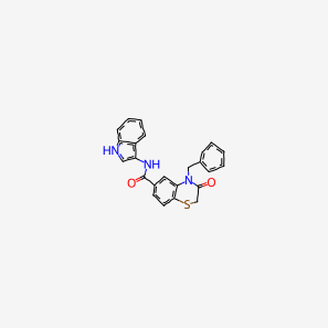 O=C(Nc1c[nH]c2ccccc12)c1ccc2c(c1)N(Cc1ccccc1)C(=O)CS2